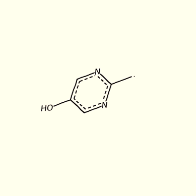 [CH2]c1ncc(O)cn1